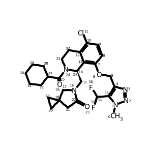 Cn1nnc(COc2ccc(Cl)c3c2[C@@H](CN2CC4(CC4)CC2=O)N(C(=O)C2CCCCC2)CC3)c1C(F)F